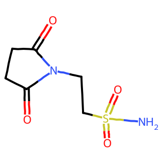 NS(=O)(=O)CCN1C(=O)CCC1=O